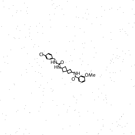 COc1cccc(C(=O)NC2CC3(CC(NC(=O)NCc4ccc(Cl)cc4)C3)C2)c1